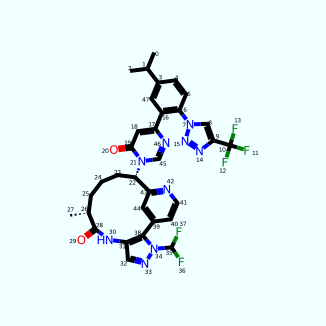 CC(C)c1ccc(-n2cc(C(F)(F)F)nn2)c(-c2cc(=O)n([C@H]3CCC[C@@H](C)C(=O)Nc4cnn(C(F)F)c4-c4ccnc3c4)cn2)c1